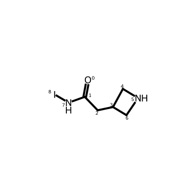 O=C(CC1CNC1)NI